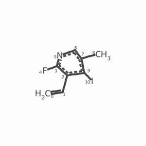 C=Cc1c(F)ncc(C)c1I